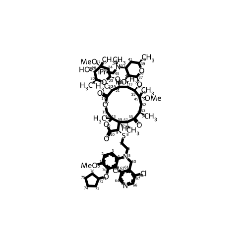 COc1ccc(N(CCS[C@@H]2C(=O)O[C@]3(C)COC(=O)[C@H](C)[C@@H](O[C@H]4C[C@@](C)(OC)[C@@H](O)[C@H](C)O4)[C@H](C)[C@@H](O[C@@H]4O[C@H](C)C[C@H](N(C)CC(C)C)[C@H]4O)[C@](C)(OC)C[C@@H](C)C(=O)[C@H](C)[C@@H]23)Cc2c(Cl)cncc2Cl)cc1OC1CCCC1